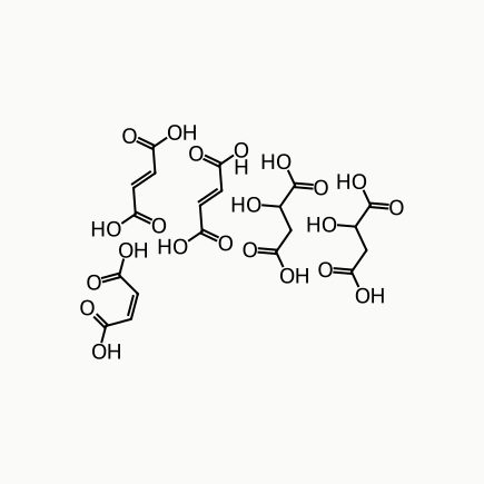 O=C(O)/C=C/C(=O)O.O=C(O)/C=C/C(=O)O.O=C(O)/C=C\C(=O)O.O=C(O)CC(O)C(=O)O.O=C(O)CC(O)C(=O)O